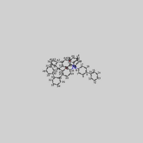 C=C/C(=C\C)N(c1ccc(-c2ccccc2)cc1)c1ccc2c(c1)C1(c3ccccc3-c3ccccc3-2)c2ccccc2-c2cc3ccccc3cc21